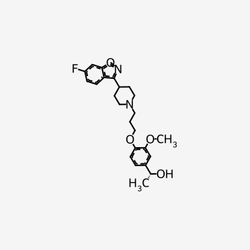 COc1cc([C@@H](C)O)ccc1OCCCN1CCC(c2noc3cc(F)ccc23)CC1